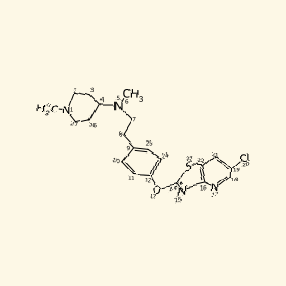 CN1CCC(N(C)CCc2ccc(Oc3nc4ncc(Cl)cc4s3)cc2)CC1